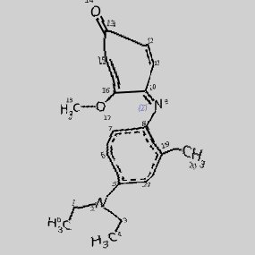 CCN(CC)c1ccc(/N=C2/C=CC(=O)C=C2OC)c(C)c1